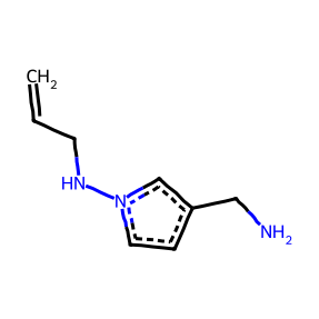 C=CCNn1ccc(CN)c1